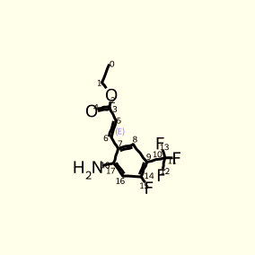 CCOC(=O)/C=C/c1cc(C(F)(F)F)c(F)cc1N